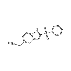 N#CCc1ccc2[nH]c(S(=O)(=O)c3ccccc3)cc2c1